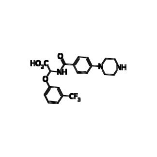 O=C(NC(Oc1cccc(C(F)(F)F)c1)C(=O)O)c1ccc(N2CCNCC2)cc1